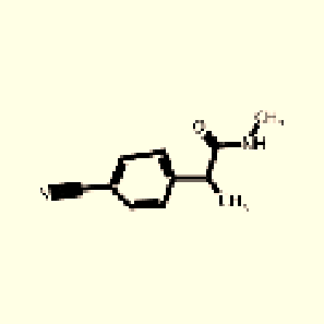 CNC(=O)C(C)c1ccc(C#N)cc1